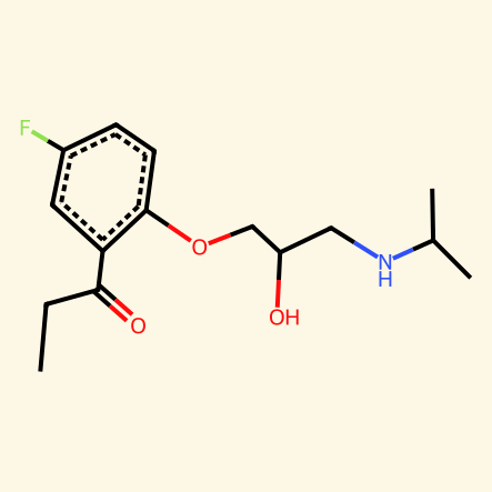 CCC(=O)c1cc(F)ccc1OCC(O)CNC(C)C